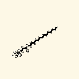 CCCCCCCCCCCCC=COC(=O)CCOS(=O)(=O)O